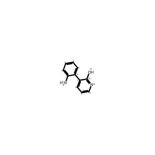 Nc1ccccc1-c1cccnc1O